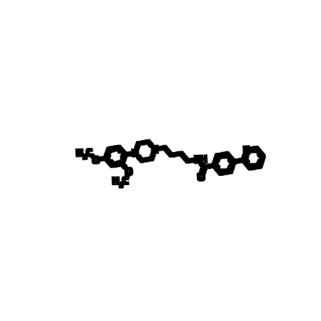 COc1ccc(N2CCN(CCCCNC(=O)c3ccc(-c4ccccn4)cc3)CC2)c(OC)c1